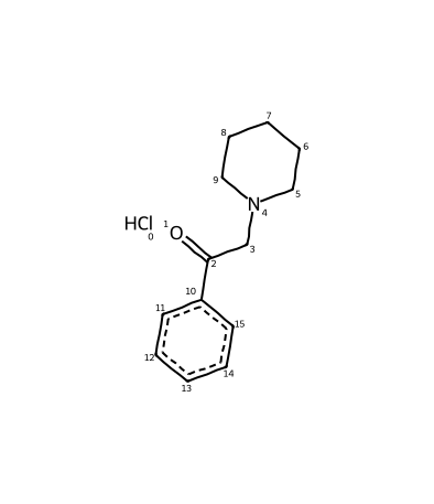 Cl.O=C(CN1CCCCC1)c1ccccc1